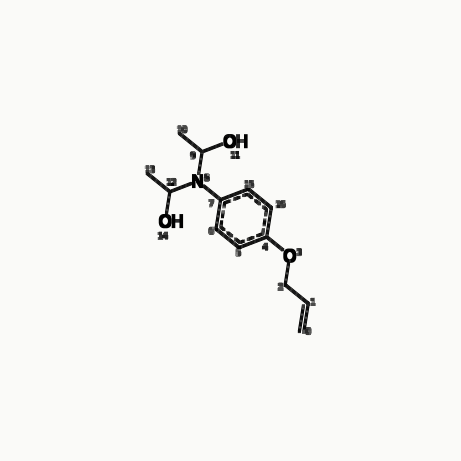 C=CCOc1ccc(N(C(C)O)C(C)O)cc1